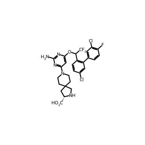 Nc1nc(OC(c2ccc(Cl)cc2-c2ccc(F)c(Cl)c2)C(F)(F)F)cc(N2CCC3(CC2)CN[C@H](C(=O)O)C3)n1